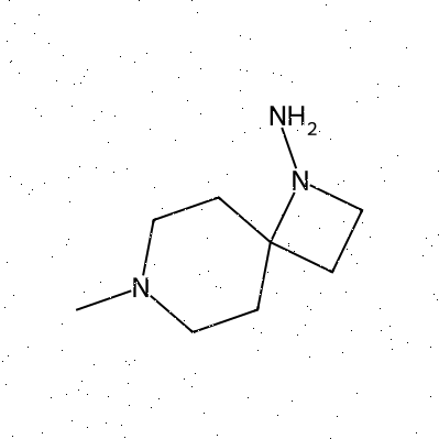 CN1CCC2(CC1)CCN2N